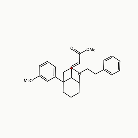 COC(=O)/C=C/C1C2CCCC1(c1cccc(OC)c1)CCN2CCc1ccccc1